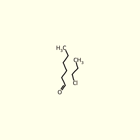 CCCCCC=O.CCCCl